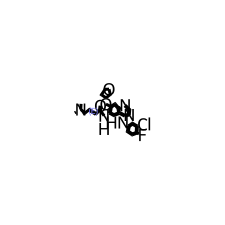 CN(C)C/C=C/C(=O)Nc1cc2c(Nc3ccc(F)c(Cl)c3)ncnc2cc1OC1CCOC1